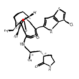 N#C[C@H](C[C@@H]1CCNC1=O)NC(=O)[C@@H]1[C@@H]2CC[C@@H](CC2(F)F)N1C(=O)c1cc2scc(Cl)c2[nH]1